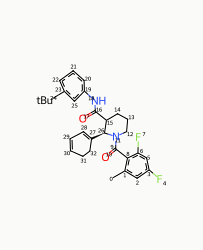 Cc1cc(F)cc(F)c1C(=O)N1CCCC(C(=O)Nc2cccc(C(C)(C)C)c2)[C@@H]1C1=CC=CCC1